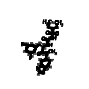 CCN(CC)S(=O)(=O)NC(=O)N[C@@H](Cc1cc(F)cc(F)c1)C(=O)N(C)c1ccc2scnc2c1